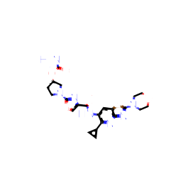 NC(=O)O[C@H]1CCN(c2nc(C(=O)Nc3cc4sc(N5CCOCC5)nc4nc3C3CC3)co2)C1